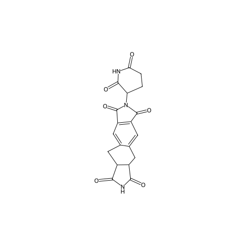 O=C1CCC(N2C(=O)c3cc4c(cc3C2=O)CC2C(=O)NC(=O)C2C4)C(=O)N1